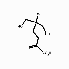 C=C(CCC(CC)(CO)CO)C(=O)O